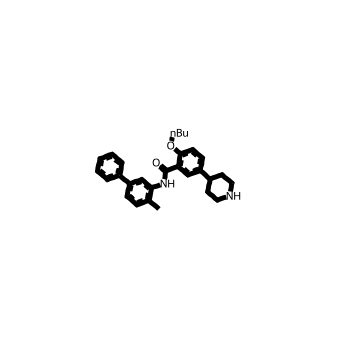 CCCCOc1ccc(C2CCNCC2)cc1C(=O)Nc1cc(-c2ccccc2)ccc1C